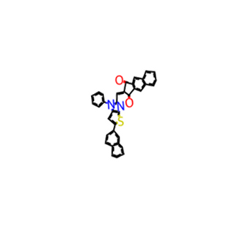 O=C1C(=Cc2nc3sc(-c4ccc5ccccc5c4)cc3n2-c2ccccc2)C(=O)c2cc3ccccc3cc21